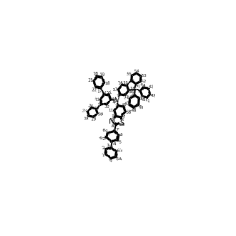 c1ccc(-c2ccc(-c3nc4cc(N(c5cc(-c6ccccc6)cc(-c6ccccc6)c5)c5ccc6c(c5)C(c5ccccc5)(c5ccccc5)c5ccccc5-6)ccc4s3)cc2)cc1